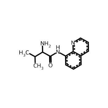 CC(C)C(N)C(=O)Nc1cccc2cccnc12